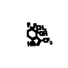 CC1(O)c2c(C(F)(F)F)c[nH]c2CCC1(F)F